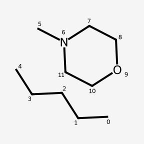 CCCCC.CN1CCOCC1